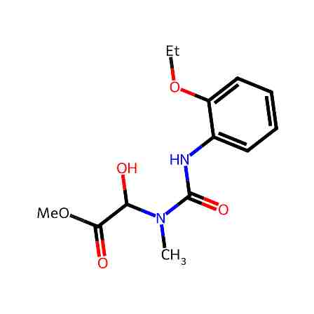 CCOc1ccccc1NC(=O)N(C)C(O)C(=O)OC